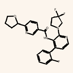 O=C(Nc1c(-c2ccccc2F)ccnc1N1CCC(F)(F)C1)c1ccc(C2CCCO2)nc1